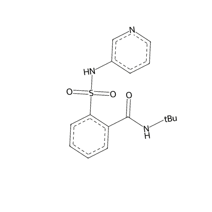 CC(C)(C)NC(=O)c1ccccc1S(=O)(=O)Nc1cccnc1